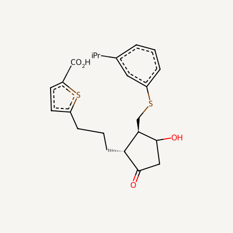 CC(C)c1cccc(SC[C@H]2C(O)CC(=O)[C@@H]2CCCc2ccc(C(=O)O)s2)c1